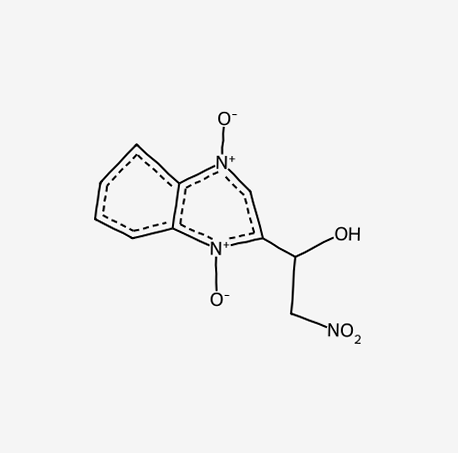 O=[N+]([O-])CC(O)c1c[n+]([O-])c2ccccc2[n+]1[O-]